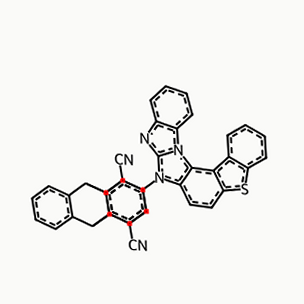 N#Cc1cccc2c1C1c3ccccc3C2c2c1ccc(-n1c3ccc4sc5ccccc5c4c3n3c4ccccc4nc13)c2C#N